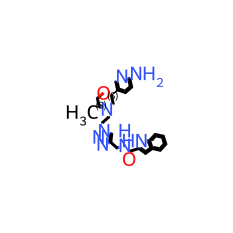 C[C@H]1CO[C@@H](c2ccc(N)nc2)CN1CCn1cc(CNC(=O)c2cc3ccccc3[nH]2)nn1